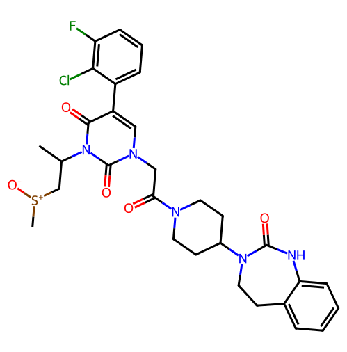 CC(C[S+](C)[O-])n1c(=O)c(-c2cccc(F)c2Cl)cn(CC(=O)N2CCC(N3CCc4ccccc4NC3=O)CC2)c1=O